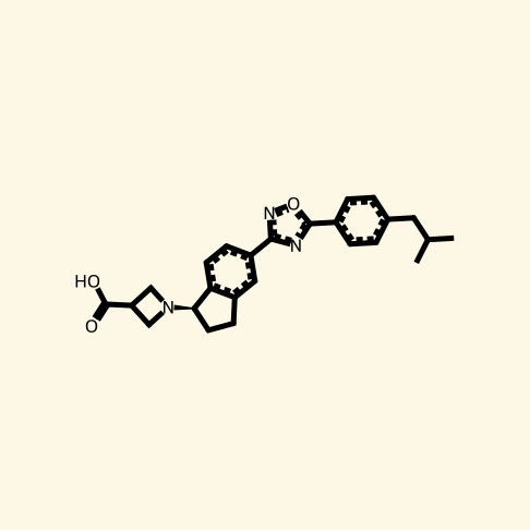 CC(C)Cc1ccc(-c2nc(-c3ccc4c(c3)CC[C@H]4N3CC(C(=O)O)C3)no2)cc1